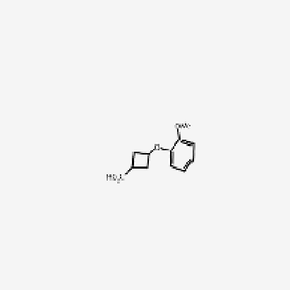 COc1ccccc1OC1CC(C(=O)O)C1